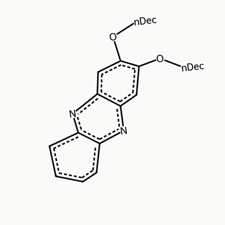 CCCCCCCCCCOc1cc2nc3ccccc3nc2cc1OCCCCCCCCCC